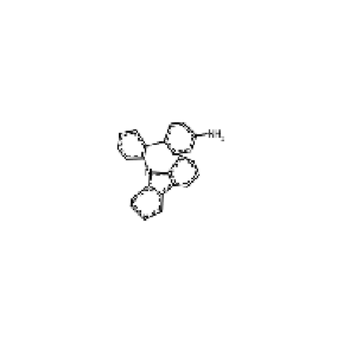 Nc1ccc(-c2ccccc2-n2c3ccccc3c3ccccc32)cc1